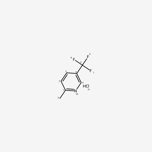 Cc1ccc(C(F)(F)F)cn1.Cl